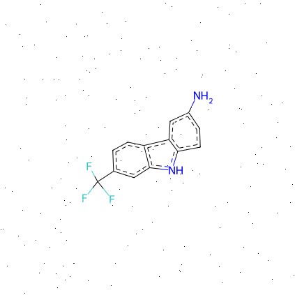 Nc1ccc2[nH]c3cc(C(F)(F)F)ccc3c2c1